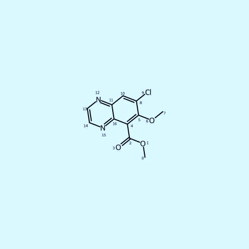 COC(=O)c1c(OC)c(Cl)cc2nccnc12